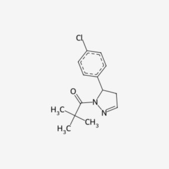 CC(C)(C)C(=O)N1N=CCC1c1ccc(Cl)cc1